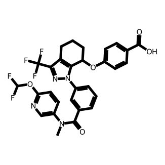 CN(C(=O)c1cccc(-n2nc(C(F)(F)F)c3c2C(Oc2ccc(C(=O)O)cc2)CCC3)c1)c1ccc(OC(F)F)nc1